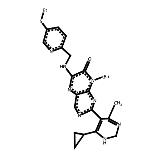 CCSc1ccc(CNc2nc3cnc(C4=C(C5CC5)NCN=C4C)nc3n(C(C)(C)C)c2=O)nc1